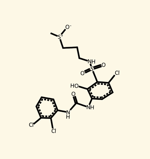 C[S+]([O-])CCCNS(=O)(=O)c1c(Cl)ccc(NC(=O)Nc2cccc(Cl)c2Cl)c1O